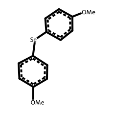 COc1ccc([Se]c2ccc(OC)cc2)cc1